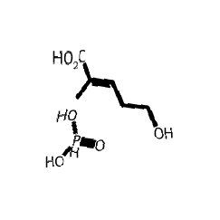 CC(=CCCO)C(=O)O.O=[PH](O)O